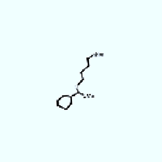 CCCCCCCCCCCCCOC(OC)C1CCCCC1